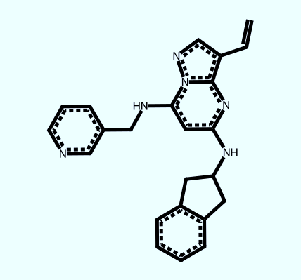 C=Cc1cnn2c(NCc3cccnc3)cc(NC3Cc4ccccc4C3)nc12